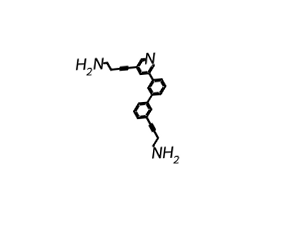 NCCC#Cc1cccc(-c2cccc(-c3cncc(C#CCCN)c3)c2)c1